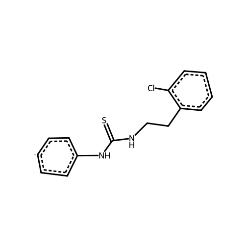 S=C(NCCc1ccccc1Cl)Nc1cc[c]cc1